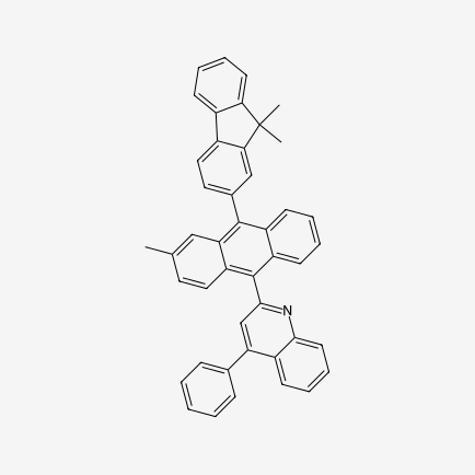 Cc1ccc2c(-c3cc(-c4ccccc4)c4ccccc4n3)c3ccccc3c(-c3ccc4c(c3)C(C)(C)c3ccccc3-4)c2c1